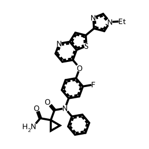 CCn1cnc(-c2cc3nccc(Oc4ccc(N(C(=O)C5(C(N)=O)CC5)c5ccccc5)cc4F)c3s2)c1